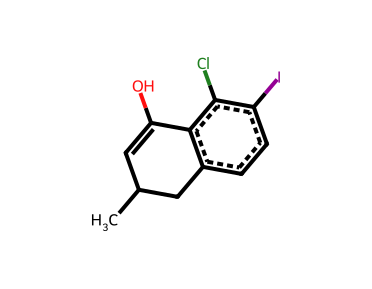 CC1C=C(O)c2c(ccc(I)c2Cl)C1